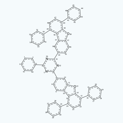 c1ccc(-c2nc(-c3ccc4c(c3)oc3c(-c5ccccc5)ccc(-c5ccccc5)c34)nc(-c3ccc4oc5c(-c6ccccc6)ccc(-c6ccccc6)c5c4c3)n2)cc1